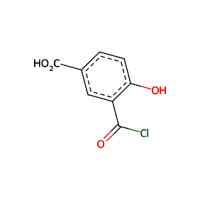 O=C(O)c1ccc(O)c(C(=O)Cl)c1